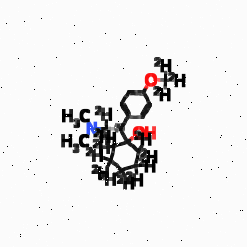 [2H]C([2H])([2H])Oc1ccc([C@@H](C([2H])([2H])N(C)C)C2(O)C([2H])([2H])C([2H])([2H])C([2H])([2H])C([2H])([2H])C2([2H])[2H])cc1